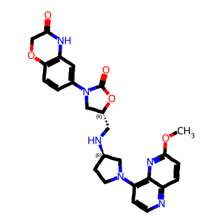 COc1ccc2nccc(N3CC[C@@H](NC[C@@H]4CN(c5ccc6c(c5)NC(=O)CO6)C(=O)O4)C3)c2n1